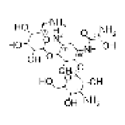 NC[C@H]1OC(OC2C(O)C(O[C@H]3OC(CO)C(O)[C@H](N)C3O)[C@H](NC(=O)[C@H](N)O)C[C@@H]2N)C(O)C(O)C1O